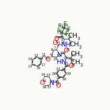 CC(C)C(NC(=O)[C@@H]1C[C@@H](OCc2ccccc2)CN1C(=O)[C@@H](NC(=O)c1ccc(C(=O)N2CCOCC2)cc1)C(C)C)C(=O)C(F)(F)C(F)(F)F